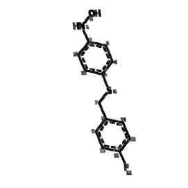 ONc1ccc(SCc2ccc(F)cc2)cc1